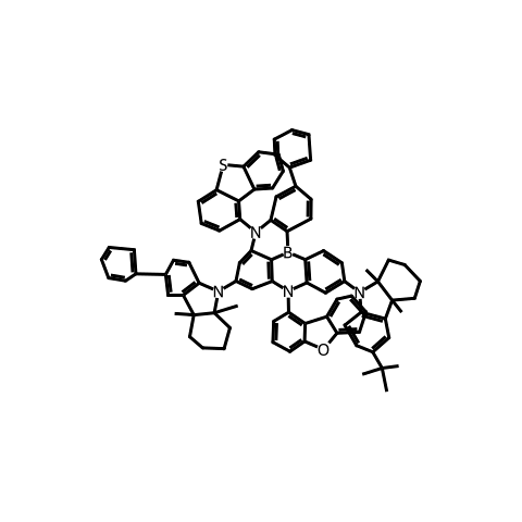 CC(C)(C)c1ccc2c(c1)C1(C)CCCCC1(C)N2c1ccc2c(c1)N(c1cccc3oc4ccccc4c13)c1cc(N3c4ccc(-c5ccccc5)cc4C4(C)CCCCC34C)cc3c1B2c1ccc(-c2ccccc2)cc1N3c1cccc2sc3ccccc3c12